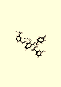 COc1c(OCc2cccc(C(C)=O)c2)cccc1C1SC(c2ccc(F)cc2)=NN1C(=O)c1cccc(F)c1